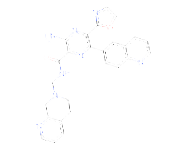 Nc1nc(-c2ncco2)c(-c2ccc3ncccc3c2)nc1C(=O)NCN1CCc2cccnc2C1